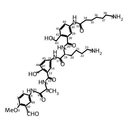 COc1ccc(NC(=O)[C@H](C)NC(=O)c2cc(NC(=O)[C@H](CCCCN)NC(=O)c3cc(NC(=O)CCCCCN)ccc3CO)ccc2O)cc1C=O